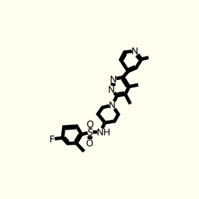 Cc1cc(-c2nnc(N3CCC(NS(=O)(=O)c4ccc(F)cc4C)CC3)c(C)c2C)ccn1